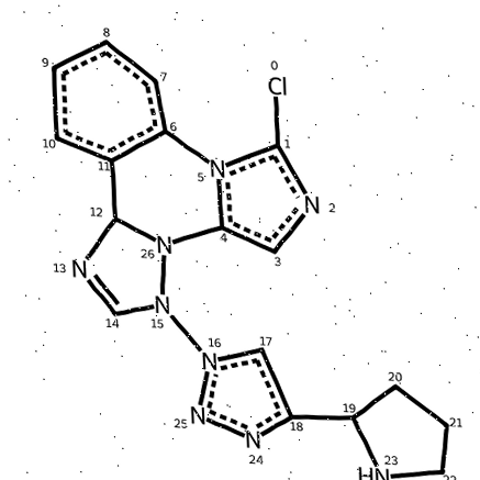 Clc1ncc2n1-c1ccccc1C1N=CN(n3cc(C4CCCN4)nn3)N21